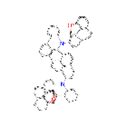 c1ccc(-c2ccccc2N(c2ccc3ccc4c(N(c5ccccc5-c5ccccc5)c5ccc6ccc7cccc8oc5c6c78)ccc5ccc2c3c54)c2ccc3ccc4cccc5oc2c3c45)cc1